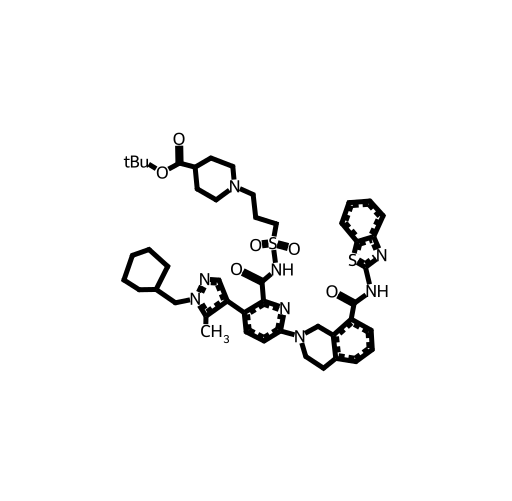 Cc1c(-c2ccc(N3CCc4cccc(C(=O)Nc5nc6ccccc6s5)c4C3)nc2C(=O)NS(=O)(=O)CCCN2CCC(C(=O)OC(C)(C)C)CC2)cnn1CC1CCCCC1